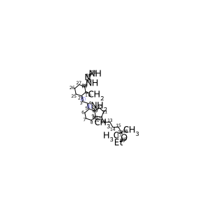 C=C1/C(=C\C=C2/CCC[C@]3(C)C(CCCCC(C)(C)OCC)CC[C@@]23N)CCC[C@@H]1NN=N